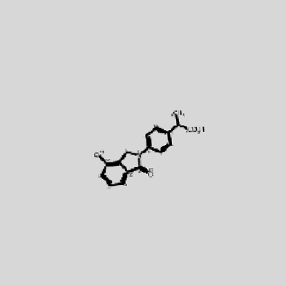 CC(C(=O)O)c1ccc(N2Cc3c(Cl)cccc3C2=O)cc1